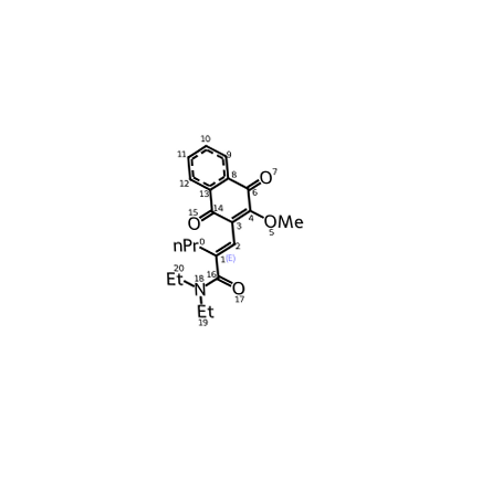 CCC/C(=C\C1=C(OC)C(=O)c2ccccc2C1=O)C(=O)N(CC)CC